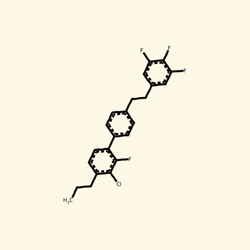 CCCc1ccc(-c2ccc(CCc3cc(F)c(F)c(F)c3)cc2)c(F)c1Cl